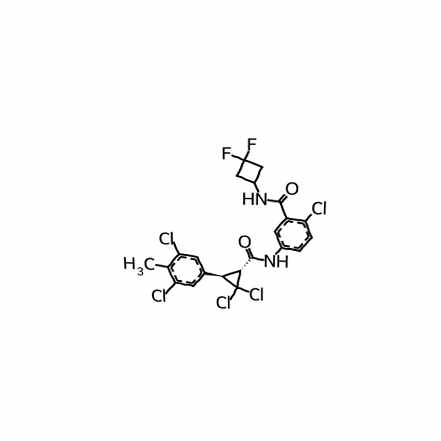 Cc1c(Cl)cc([C@H]2[C@H](C(=O)Nc3ccc(Cl)c(C(=O)NC4CC(F)(F)C4)c3)C2(Cl)Cl)cc1Cl